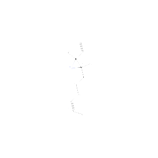 C=CC1(C)NC1(C)CCC/C=C\C